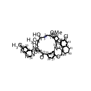 CO[C@H]1/C=C/[C@H](O)[C@H](C)C[S@@](=O)(Nc2ncnc3nn(C)cc23)=NC(=O)c2ccc3c(c2)N(C[C@@H]2CC[C@H]21)C[C@@]1(CCCc2cc(Cl)ccc21)CO3